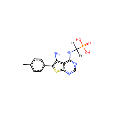 CCC(CC)(Nc1ncnc2sc(-c3ccc(C)cc3)c(N)c12)P(=O)(O)O